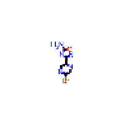 Nc1nc(-c2cnc(Br)cn2)no1